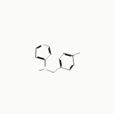 Cc1ccc(CN(C)c2ccncc2)cc1